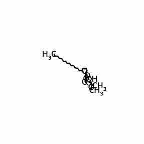 CCCCCCCCCCCCCCc1cccc(OOP(=O)(O)OCC(C)OC)c1